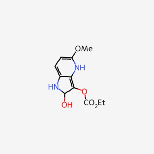 CCOC(=O)OC1=C2NC(OC)=CC=C2NC1O